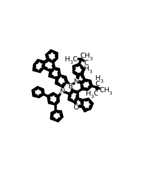 CC(C)(C)c1ccc2c(c1)c1cc(C(C)(C)C)cc3c1n2B1c2cc4cc5c6ccccc6c6ccccc6c5cc4cc2N(c2cc(-c4ccccc4)cc(-c4ccccc4)c2)c2cc4oc5ccccc5c4c-3c21